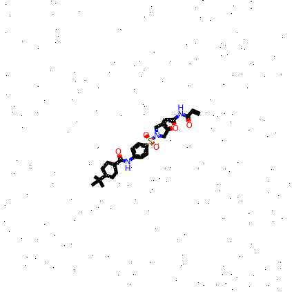 C=CC(=O)Nc1cc2c(o1)CN(S(=O)(=O)c1ccc(NC(=O)C3CCC(C(C)(C)C)CC3)cc1)C2